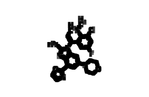 C=Nc1c(Cl)cc(F)cc1/C(=C\C)n1c(CCC)nc2c(-c3ncco3)cc(N3CCOCC3)cc21